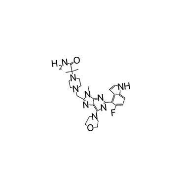 Cn1c(CN2CCN(C(C)(C)C(N)=O)CC2)nc2c(N3CCOCC3)nc(-c3c(F)ccc4[nH]ccc34)nc21